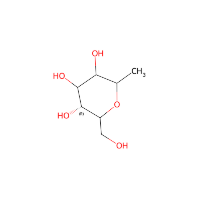 CC1OC(CO)[C@H](O)C(O)C1O